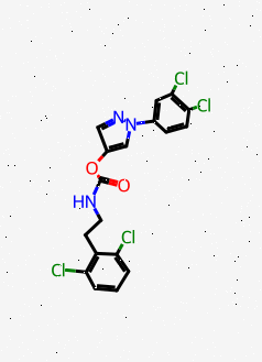 O=C(NCCc1c(Cl)cccc1Cl)Oc1cnn(-c2ccc(Cl)c(Cl)c2)c1